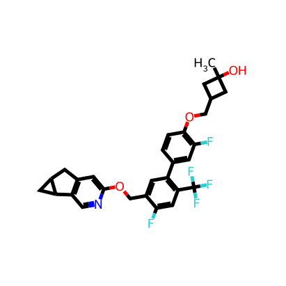 CC1(O)CC(COc2ccc(-c3cc(COc4cc5c(cn4)C4CC4C5)c(F)cc3C(F)(F)F)cc2F)C1